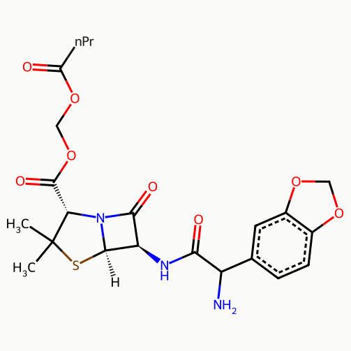 CCCC(=O)OCOC(=O)[C@@H]1N2C(=O)[C@@H](NC(=O)C(N)c3ccc4c(c3)OCO4)[C@H]2SC1(C)C